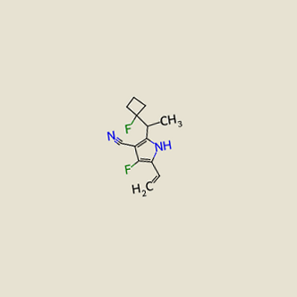 C=Cc1[nH]c(C(C)C2(F)CCC2)c(C#N)c1F